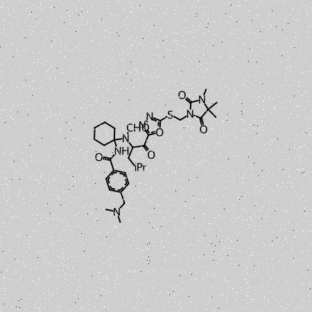 CC(C)CC(C(=O)c1nnc(SCN2C(=O)N(C)C(C)(C)C2=O)o1)N(C=O)C1(NC(=O)c2ccc(CN(C)C)cc2)CCCCC1